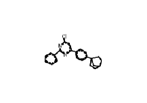 Clc1cc(-c2ccc(C34CCC(CC3)C4)cc2)nc(-c2ccccc2)n1